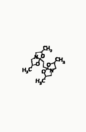 CC1CN2CC(C)OC2(CCC23OC(C)CN2CC(C)O3)O1